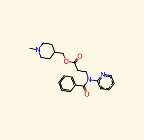 CN1CCC(COC(=O)CCN(C(=O)C2=CC=C=C=C2)c2ccccn2)CC1